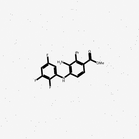 COC(=O)c1ccc(Nc2cc(F)cc(F)c2F)c(N)c1C(C)C